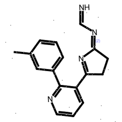 Cc1cccc(-c2ncccc2C2=N/C(=N\C=N)CC2)c1